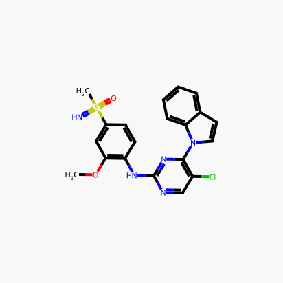 COc1cc(S(C)(=N)=O)ccc1Nc1ncc(Cl)c(-n2ccc3ccccc32)n1